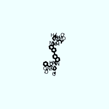 COC[C@H]1C[C@@H](c2nc3ccc4cc(-c5ccc6c(ccc7nc([C@@H]8C[C@H]9[C@@H](C)[C@H]9N8C(=O)[C@@H](NC(=O)OC)C(C)C)[nH]c76)c5)ccc4c3[nH]2)N(C(=O)[C@H](NC(=O)OC)c2ccccc2)C1